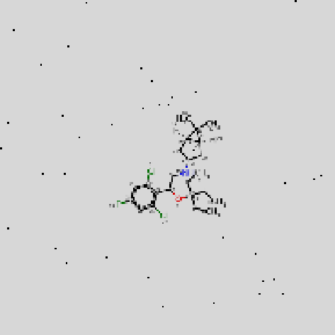 CC[Si](CC)(CC)OC(CN[C@@H]1C[C@@H]2[C@H](C1)C2(C)C)c1c(Cl)cc(F)cc1Cl